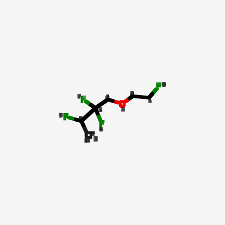 FCCOCC(F)(F)C(F)C(F)(F)F